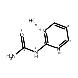 Cl.NC(=O)Nc1ncccn1